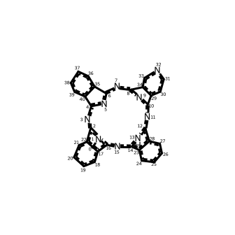 Cn1c2nc3nc(nc4nc(nc5[nH]c(nc1c1ccccc12)c1ccccc51)-c1ccncc1-4)-c1ccccc1-3